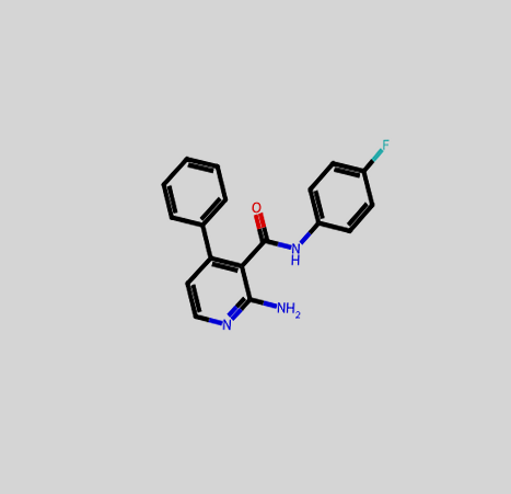 Nc1nccc(-c2ccccc2)c1C(=O)Nc1ccc(F)cc1